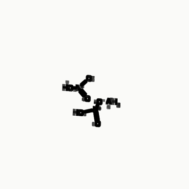 O=[N+]([O-])O.O=[N+]([O-])O.[AlH3]